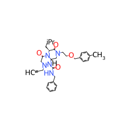 C#CCN1CC(=O)N2[C@@H](CC(C)C)C(=O)N(CCOCc3ccc(C)cc3)C[C@@H]2N1C(=O)NCc1ccccc1